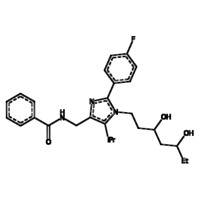 [CH2]CC(O)CC(O)CCn1c(-c2ccc(F)cc2)nc(CNC(=O)c2ccccc2)c1C(C)C